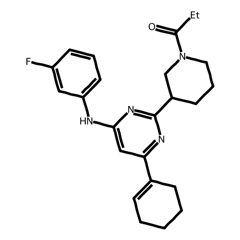 CCC(=O)N1CCCC(c2nc(Nc3cccc(F)c3)cc(C3=CCCCC3)n2)C1